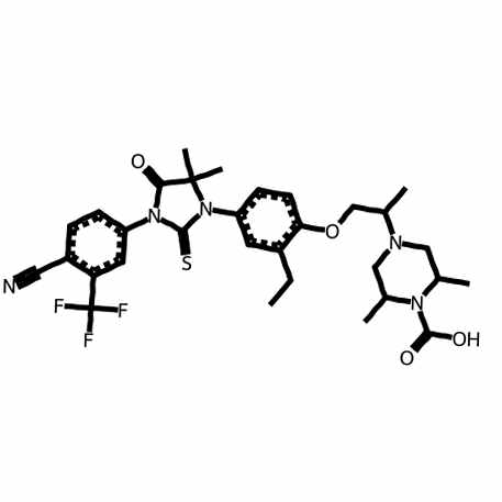 CCc1cc(N2C(=S)N(c3ccc(C#N)c(C(F)(F)F)c3)C(=O)C2(C)C)ccc1OCC(C)N1CC(C)N(C(=O)O)C(C)C1